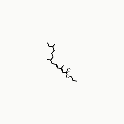 CCCOC(=O)/C=C(C)/C=C/CC(C)CCCC(C)CC